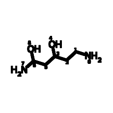 NCCC(O)CC(N)O